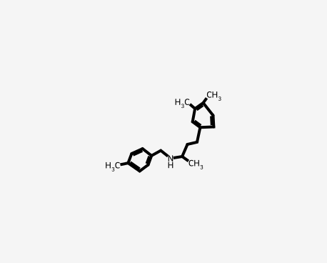 Cc1ccc(CNC(C)CCc2ccc(C)c(C)c2)cc1